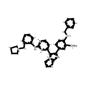 COc1cc(-c2nc3sccn3c2-c2ccnc(Nc3ccccc3CN3CCCC3)n2)ccc1OCc1ccccc1